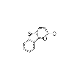 O=c1ccc2sc3ccccc3c2o1